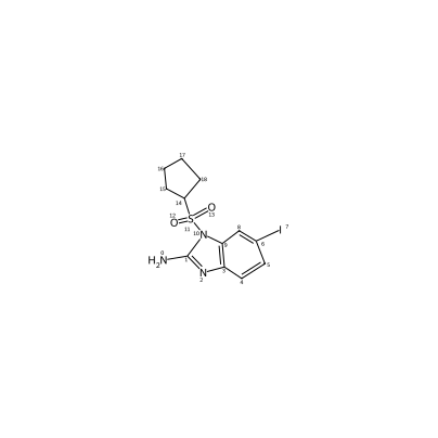 Nc1nc2ccc(I)cc2n1S(=O)(=O)C1CCCC1